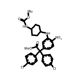 COC(=O)C(c1ccc(Cl)cc1)(c1ccc(Cl)cc1)c1ccc([N+](=O)[O-])c(NC2CCC(NC(=O)OC(C)(C)C)CC2)c1